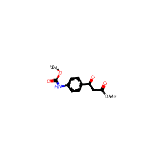 COC(=O)CC(=O)c1ccc(NC(=O)OC(C)(C)C)cc1